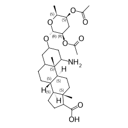 CC(=O)O[C@H]1C[C@@H](OC(C)=O)[C@H](OC2CC(N)[C@@]3(C)C(CC[C@@H]4[C@@H]3CC[C@]3(C)C(C(=O)O)CC[C@@H]43)C2)O[C@H]1C